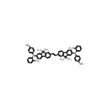 Cc1ccccc1N(c1ccc(C(C)(C)C)cc1)c1ccc2c(c1)C(C)(C)c1cc(/C=C/c3ccc4c(c3)C(C)(C)c3cc(N(c5ccc(C(C)(C)C)cc5)c5ccccc5C)ccc3-4)ccc1-2